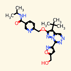 CC(C)NC(=O)c1ccc(COc2nn3c(-c4cc(CO)on4)nncc3c2C(C)(C)C)nc1